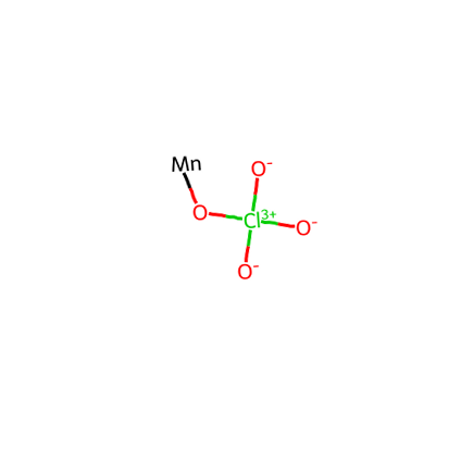 [O-][Cl+3]([O-])([O-])[O][Mn]